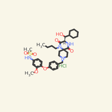 CCCCN1C(=O)[C@@H](C(O)C2CCCCC2)NC(=O)C12CCN(Cc1ccc(Oc3ccc(NS(C)(=O)=O)cc3OC)cc1)CC2.Cl